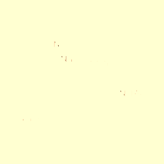 CC(=O)NC(CCC(=O)[O-])C(=O)[O-].[Na+].[Na+]